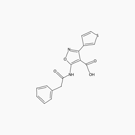 O=C(Cc1ccccc1)Nc1onc(-c2ccsc2)c1C(=O)O